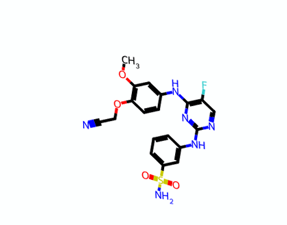 COc1cc(Nc2nc(Nc3cccc(S(N)(=O)=O)c3)ncc2F)ccc1OCC#N